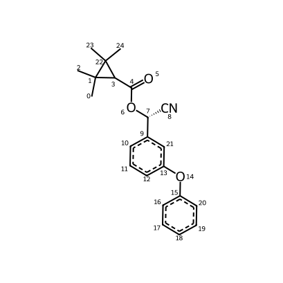 CC1(C)C(C(=O)O[C@H](C#N)c2cccc(Oc3ccccc3)c2)C1(C)C